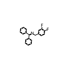 Fc1ccc(CN=C(c2ccccc2)c2ccccc2)cc1F